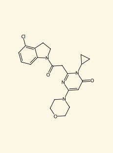 O=C(Cc1nc(N2CCOCC2)cc(=O)n1C1CC1)N1CCc2c(Cl)cccc21